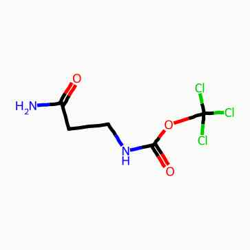 NC(=O)CCNC(=O)OC(Cl)(Cl)Cl